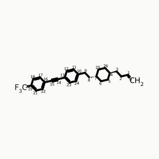 C=CCC[C@H]1CC[C@H](CCc2ccc(C#Cc3ccc(C(F)(F)F)cc3)cc2)CC1